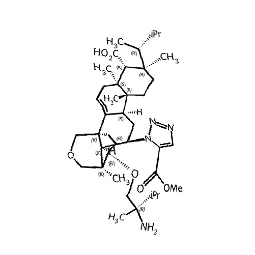 COC(=O)c1cnnn1[C@@H]1C[C@@]23COC[C@@](C)([C@@H]2CC[C@H]2C3=CC[C@@]3(C)[C@H](C(=O)O)[C@@](C)([C@H](C)C(C)C)CC[C@]23C)[C@H]1OC[C@](C)(N)C(C)C